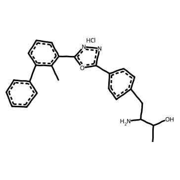 Cc1c(-c2ccccc2)cccc1-c1nnc(-c2ccc(CC(N)C(C)O)cc2)o1.Cl